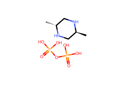 C[C@@H]1CN[C@@H](C)CN1.O=P(O)(O)OP(=O)(O)O